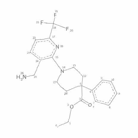 CCOC(=O)C1(c2ccccc2)CCN(c2nc(C(F)(F)F)ccc2CN)CC1